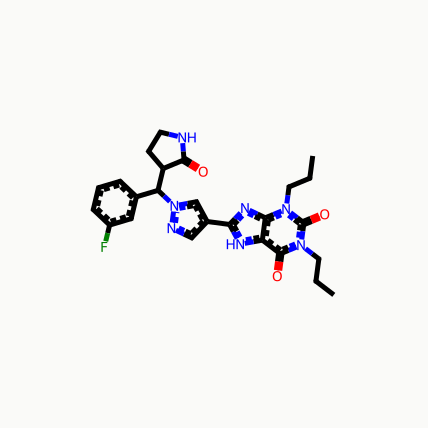 CCCn1c(=O)c2[nH]c(-c3cnn(C(c4cccc(F)c4)C4CCNC4=O)c3)nc2n(CCC)c1=O